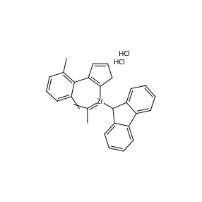 C[C](C)=[Zr]([C]1=C(c2c(C)cccc2C)C=CC1)[CH]1c2ccccc2-c2ccccc21.Cl.Cl